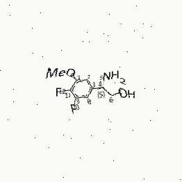 COc1cc([C@H](N)CO)cc(F)c1F